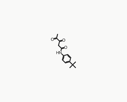 CC(=O)C(=O)CC(=O)Nc1ccc(C(C)(C)C)cc1